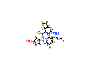 CC(Nc1nc(C(O)N[C@@H]2CC[C@@H](O)C2)c2sccc2n1)c1cncc(F)c1